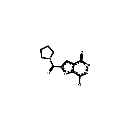 O=C(c1cc2c(=O)[nH]nc(Cl)c2o1)N1CCCC1